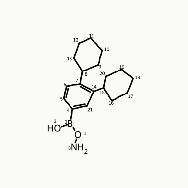 NOB(O)c1ccc(C2CCCCC2)c(C2CCCCC2)c1